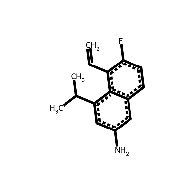 C=Cc1c(F)ccc2cc(N)cc(C(C)C)c12